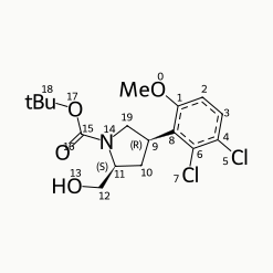 COc1ccc(Cl)c(Cl)c1[C@H]1C[C@@H](CO)N(C(=O)OC(C)(C)C)C1